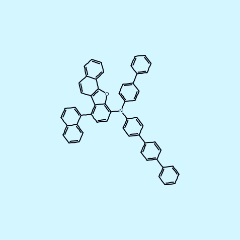 c1ccc(-c2ccc(-c3ccc(N(c4ccc(-c5ccccc5)cc4)c4ccc(-c5cccc6ccccc56)c5c4oc4c6ccccc6ccc45)cc3)cc2)cc1